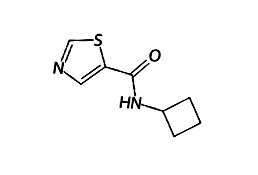 O=C(NC1CCC1)c1cncs1